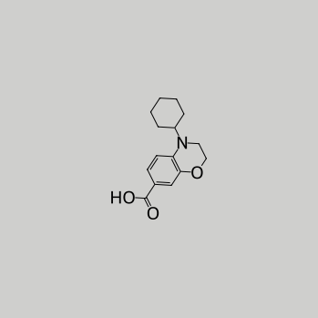 O=C(O)c1ccc2c(c1)OCCN2C1CCCCC1